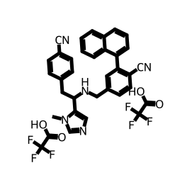 Cn1cncc1C(Cc1ccc(C#N)cc1)NCc1ccc(C#N)c(-c2cccc3ccccc23)c1.O=C(O)C(F)(F)F.O=C(O)C(F)(F)F